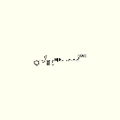 CCCCCCCC/C=C\CCCCCCCCNC(=O)CNC(=O)OCc1ccccc1